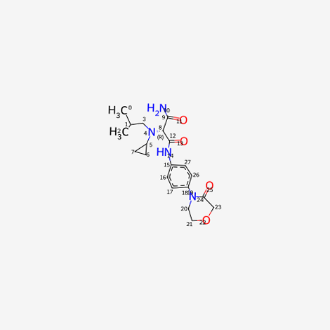 CC(C)CN(C1CC1)[C@H](C(N)=O)C(=O)Nc1ccc(N2CCOCC2=O)cc1